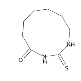 O=C1CCCCCCNC(=S)N1